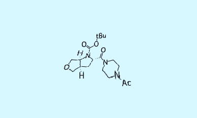 CC(=O)N1CCN(C(=O)[C@@H]2C[C@H]3COC[C@H]3N2C(=O)OC(C)(C)C)CC1